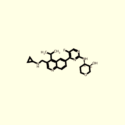 CC(C)c1c(CNC2CC2)cnc2ccc(-c3nc(N[C@@H]4CCOC[C@@H]4O)ncc3F)cc12